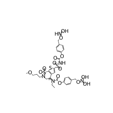 CCN(C(=O)Oc1ccc(CON(O)O)cc1)[C@H]1CN(CCCOC)S(=O)(=O)c2sc(S(=O)(=O)NC(=O)Oc3ccc(CONO)cc3)cc21